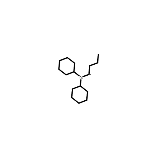 CCC[CH]N(C1CCCCC1)C1CCCCC1